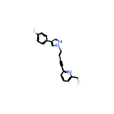 FCc1cccc(C#CCCn2cc(-c3ccc(F)cc3)cn2)n1